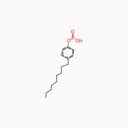 CCCCCCCCCc1ccc(O[P](=O)O)cc1